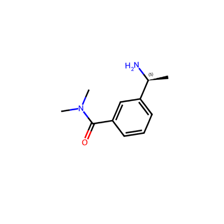 C[C@H](N)c1cccc(C(=O)N(C)C)c1